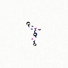 CCC(=O)NC(Cc1ccc(CNC(=O)[C@@H](NC(=O)O)C2CCCC2)cc1)C(=O)N1CCN(Cc2ccccc2)CC1